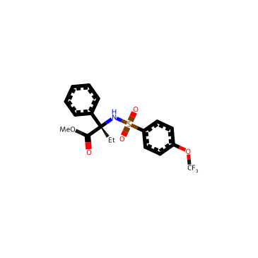 CC[C@@](NS(=O)(=O)c1ccc(OC(F)(F)F)cc1)(C(=O)OC)c1ccccc1